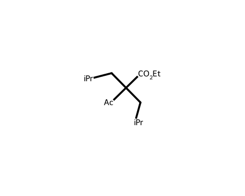 CCOC(=O)C(CC(C)C)(CC(C)C)C(C)=O